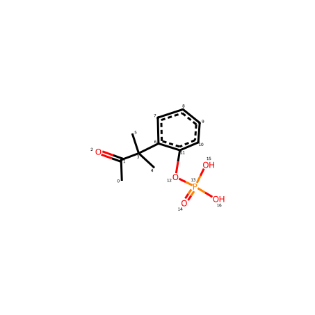 CC(=O)C(C)(C)c1ccccc1OP(=O)(O)O